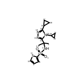 CC(C)(NS(=O)(=O)c1cccs1)c1nnc(C2CC2)n1C1CC1